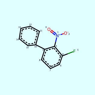 O=[N+]([O-])c1c(F)cccc1-c1ccccc1